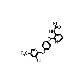 CCC(=O)Nc1cccnc1Oc1ccc(Oc2ncc(C(F)(F)F)cc2Cl)cc1